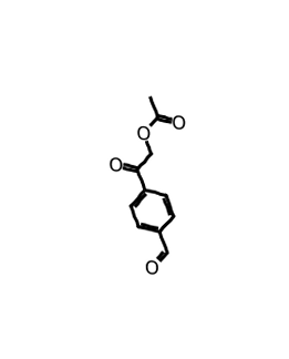 CC(=O)OCC(=O)c1ccc(C=O)cc1